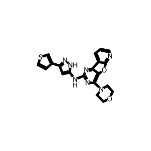 c1cnc2oc3c(N4CCOCC4)nc(Nc4cc(-c5ccsc5)n[nH]4)nc3c2c1